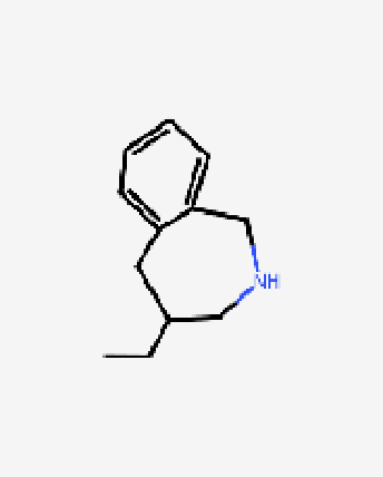 CCC1CNCc2ccccc2C1